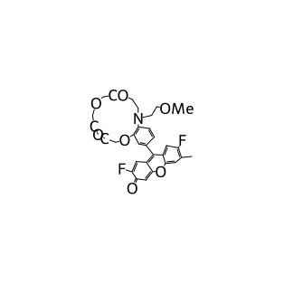 COCCN1CCOCCOCCOCCOc2cc(-c3c4cc(F)c(=O)cc-4oc4cc(C)c(F)cc34)ccc21